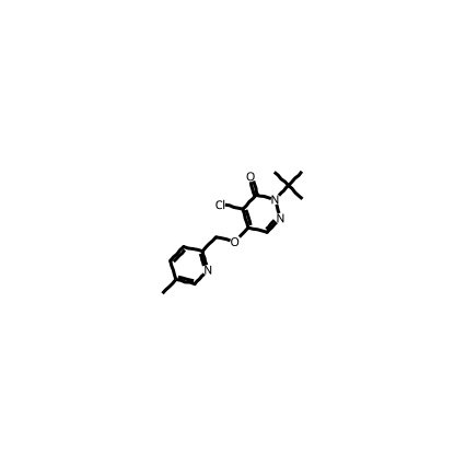 Cc1ccc(COc2cnn(C(C)(C)C)c(=O)c2Cl)nc1